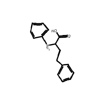 O=C(O)C(CCc1ccccc1)[SiH2]c1ccccc1